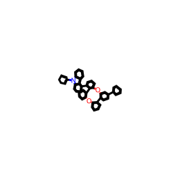 C1=CC(n2c3ccccc3c3c(-c4cccc5c4-c4ccccc4Oc4ccccc4-c4ccc(-c6ccccc6)cc4O5)cccc32)=CCC1